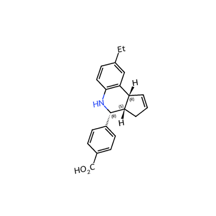 CCc1ccc2c(c1)[C@@H]1C=CC[C@@H]1[C@H](c1ccc(C(=O)O)cc1)N2